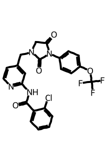 O=C(Nc1cc(CN2CC(=O)N(c3ccc(OC(F)(F)F)cc3)C2=O)ccn1)c1ccccc1Cl